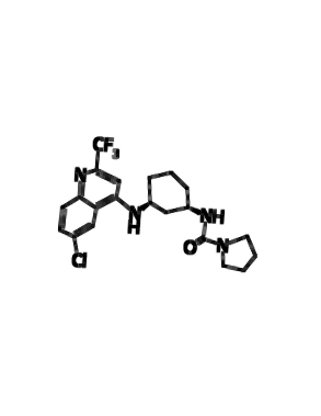 O=C(N[C@@H]1CCC[C@H](Nc2cc(C(F)(F)F)nc3ccc(Cl)cc23)C1)N1CCCC1